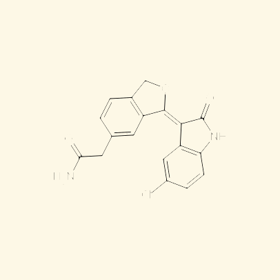 NC(=O)Cc1ccc2c(c1)/C(=C1/C(=O)Nc3ccc(Cl)cc31)OC2